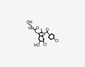 Cc1c(CC(=O)NCCO)c2cc(O)c(Cl)cc2n1C(=O)c1ccc(Cl)cc1